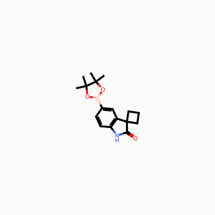 CC1(C)OB(c2ccc3c(c2)C2(CCC2)C(=O)N3)OC1(C)C